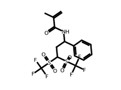 C=C(C)C(=O)NC(CC(S(=O)(=O)C(F)(F)F)S(=O)(=O)C(F)(F)F)c1ccccc1